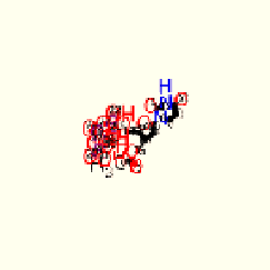 CC(=O)OC[C@H]1C[C@H](n2ccc(=O)[nH]c2=O)O[C@@H]1COP(=O)(O)OP(=O)(O)OP(=O)(O)O